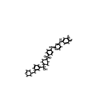 O=S(=O)(c1ccc(Nc2nccc(Nc3ccc(F)c(F)c3)n2)cc1)N1CCC(C(O)c2cccc(CN3CCOCC3)c2)CC1